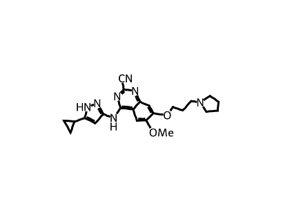 COc1cc2c(Nc3cc(C4CC4)[nH]n3)nc(C#N)nc2cc1OCCCN1CCCC1